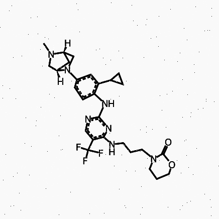 CN1C[C@@H]2C[C@H]1CN2c1ccc(Nc2ncc(C(F)(F)F)c(NCCCN3CCCOC3=O)n2)c(C2CC2)c1